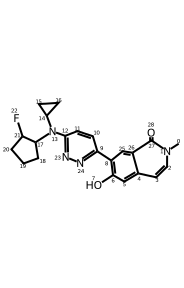 Cn1ccc2cc(O)c(-c3ccc(N(C4CC4)C4CCCC4F)nn3)cc2c1=O